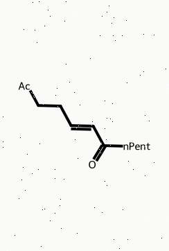 CCCCCC(=O)C=CCCC(C)=O